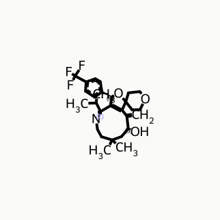 C=C1C2=C(/C(C(C)C)=N\CCC(C)(C)C[C@@H]1O)[C@@H](c1ccc(C(F)(F)F)cc1)OC21CCOCC1